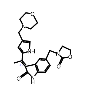 C/C(=C1\C(=O)Nc2ccc(CN3CCOC3=O)cc21)c1cc(CN2CCOCC2)c[nH]1